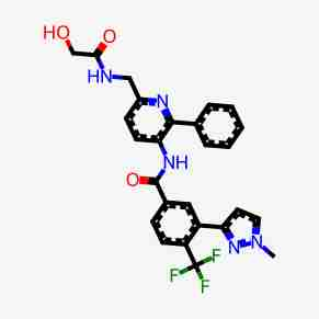 Cn1ccc(-c2cc(C(=O)Nc3ccc(CNC(=O)CO)nc3-c3ccccc3)ccc2C(F)(F)F)n1